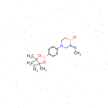 CN=C1CN(c2ccc(B3OC(C)(C)C(C)(C)O3)cc2)CC[S+]1[O-]